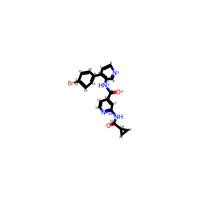 O=C(Nc1cnccc1-c1ccc(Br)cc1)c1ccnc(NC(=O)C2CC2)c1